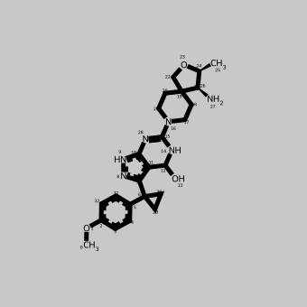 COc1ccc(C2(c3n[nH]c4c3C(O)NC(N3CCC5(CC3)CO[C@@H](C)[C@H]5N)=N4)CC2)cc1